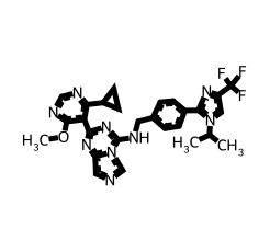 COc1ncnc(C2CC2)c1-c1nc(NCc2ccc(-c3nc(C(F)(F)F)cn3C(C)C)cc2)n2cncc2n1